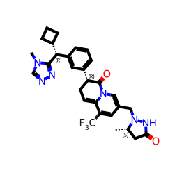 C[C@H]1CC(=O)NN1CC1=CN2C(=O)[C@@H](c3cccc([C@H](c4nncn4C)C4CCC4)c3)CC=C2C(C(F)(F)F)=C1